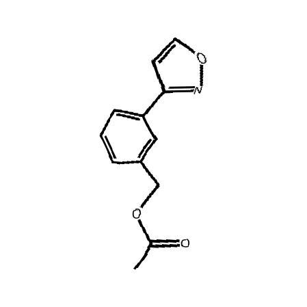 CC(=O)OCc1cccc(-c2ccon2)c1